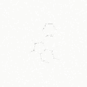 Cc1ccc2c(c1C)N(c1ccccc1)C(=O)C2=O